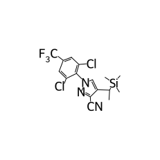 CC(c1cn(-c2c(Cl)cc(C(F)(F)F)cc2Cl)nc1C#N)[Si](C)(C)C